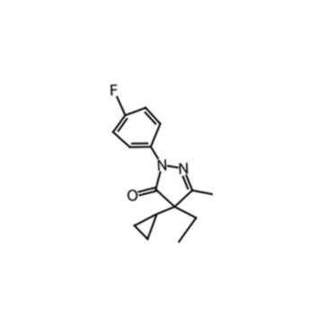 CCC1(C2CC2)C(=O)N(c2ccc(F)cc2)N=C1C